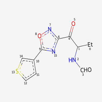 CCC(NC=O)C(=O)c1noc(-c2ccsc2)n1